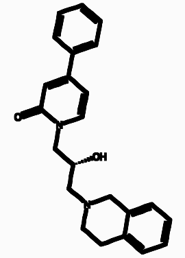 O=c1cc(-c2ccccc2)ccn1C[C@H](O)CN1CCc2ccccc2C1